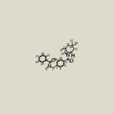 CN(Cc1ccc(C(=O)N2CC3(C)C[C@H]2CC(C)(C)C3)cc1)C(=O)c1ccccc1